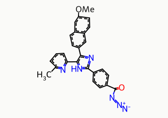 COc1ccc2cc(-c3nc(-c4ccc(C(=O)N=[N+]=[N-])cc4)[nH]c3-c3cccc(C)n3)ccc2c1